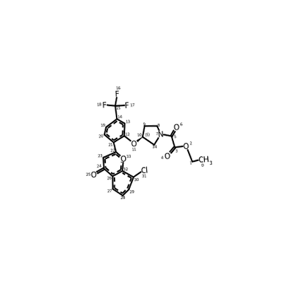 CCOC(=O)C(=O)N1CC[C@H](Oc2cc(C(F)(F)F)ccc2-c2cc(=O)c3cccc(Cl)c3o2)C1